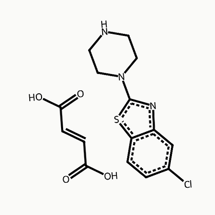 Clc1ccc2sc(N3CCNCC3)nc2c1.O=C(O)C=CC(=O)O